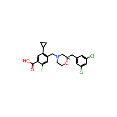 O=C(O)c1cc(C2CC2)c(CN2CCO[C@H](Cc3cc(Cl)cc(Cl)c3)C2)cc1F